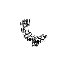 C[C@H](Oc1cc(-c2nn(C)c3c(-c4cnn(C5C[C@H]6CNC[C@H]6C5)c4)cnc(N)c23)ccc1NS(=O)(=O)C(F)F)c1ccc(F)cc1